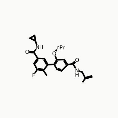 C=C(C)CNC(=O)c1ccc(-c2cc(C(=O)NC3CC3)cc(F)c2C)c(OCCC)c1